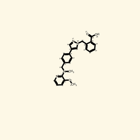 COc1cccnc1N(C)Cc1ccc(-c2cnn(Cc3ccccc3C(=O)O)c2)cc1